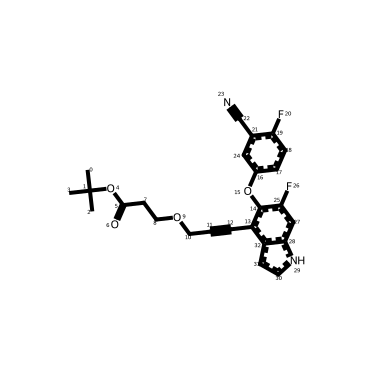 CC(C)(C)OC(=O)CCOCC#Cc1c(Oc2ccc(F)c(C#N)c2)c(F)cc2[nH]ccc12